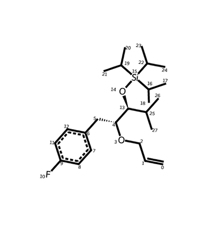 C=CCO[C@H](Cc1ccc(F)cc1)[C@@H](O[Si](C(C)C)(C(C)C)C(C)C)C(C)C